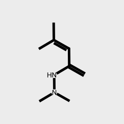 C=C(C=C(C)C)NN(C)C